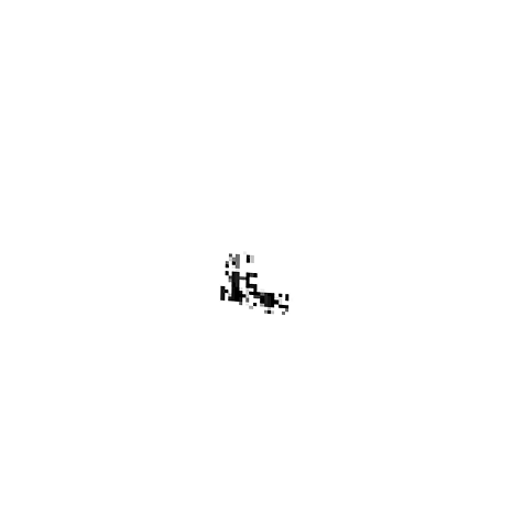 [Al+3].[K+].[NH2-].[NH2-].[NH2-].[NH2-]